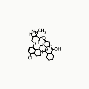 Cn1nnc(COc2ccc(Cl)c3c2[C@@H](CN2CCCC2=O)N(C(=O)C2CCCCC2C(=O)O)CC3)c1C(F)F